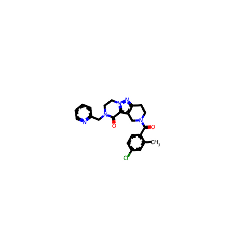 Cc1cc(Cl)ccc1C(=O)N1CCc2nn3c(c2C1)C(=O)N(Cc1ccccn1)CC3